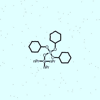 CCC[Si](CCC)(CCC)[O][Ti]([O]C1CCCCC1)([O]C1CCCCC1)[O]C1CCCCC1